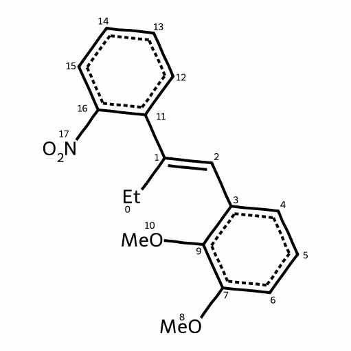 CCC(=Cc1cccc(OC)c1OC)c1ccccc1[N+](=O)[O-]